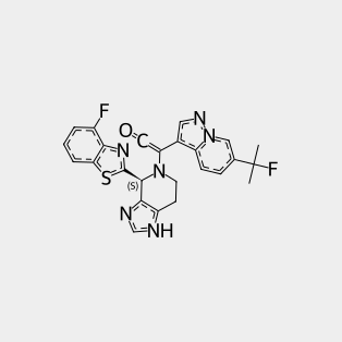 CC(C)(F)c1ccc2c(C(=C=O)N3CCc4[nH]cnc4[C@H]3c3nc4c(F)cccc4s3)cnn2c1